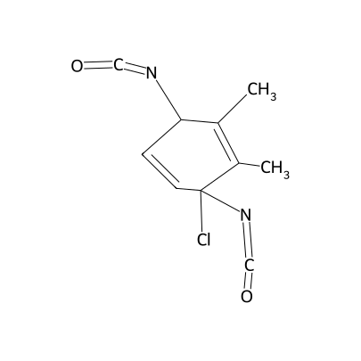 CC1=C(C)C(Cl)(N=C=O)C=CC1N=C=O